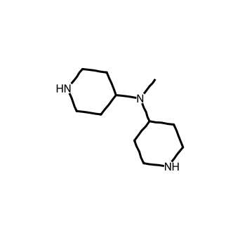 CN(C1CCNCC1)C1CCNCC1